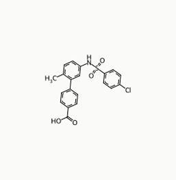 Cc1ccc(NS(=O)(=O)c2ccc(Cl)cc2)cc1-c1ccc(C(=O)O)cc1